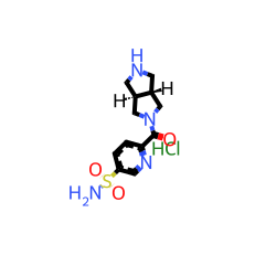 Cl.NS(=O)(=O)c1ccc(C(=O)N2C[C@H]3CNC[C@@H]3C2)nc1